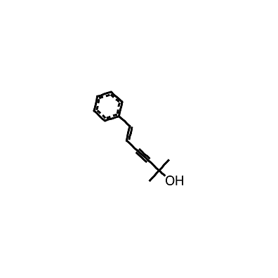 CC(C)(O)C#CC=Cc1ccccc1